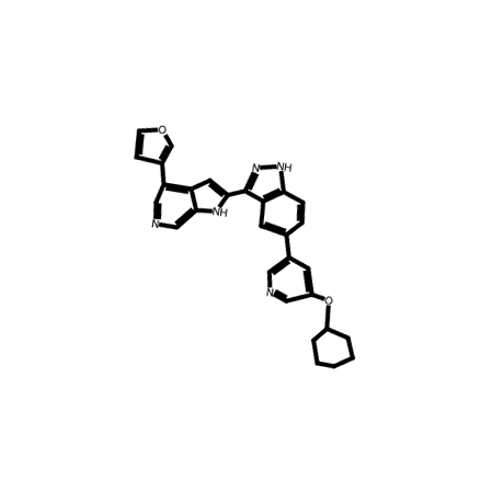 c1cc(-c2cncc3[nH]c(-c4n[nH]c5ccc(-c6cncc(OC7CCCCC7)c6)cc45)cc23)co1